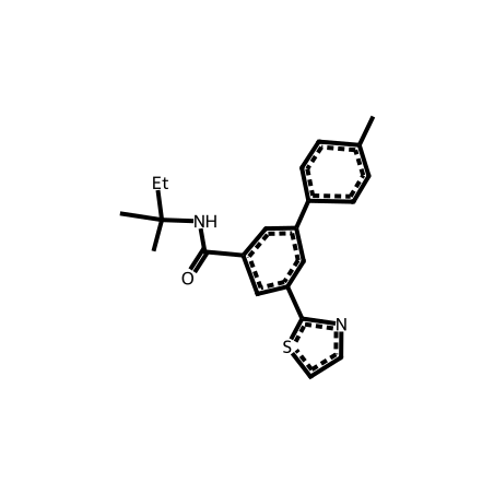 CCC(C)(C)NC(=O)c1cc(-c2ccc(C)cc2)cc(-c2nccs2)c1